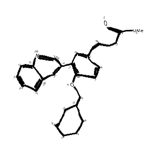 COC(=O)CCc1ccc(OCC2CCCCC2)c(-c2cnc3ccccc3c2)c1